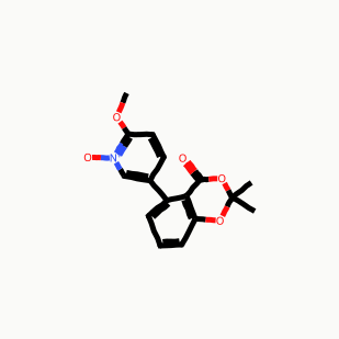 COc1ccc(-c2cccc3c2C(=O)OC(C)(C)O3)c[n+]1[O-]